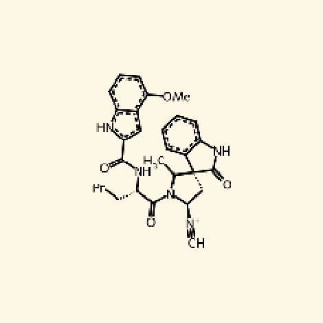 C#[N+][C@@H]1C[C@]2(C(=O)Nc3ccccc32)C(C)N1C(=O)[C@H](CC(C)C)NC(=O)c1cc2c(OC)cccc2[nH]1